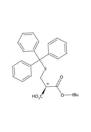 CC(C)(C)OC(=O)[C@H](CSC(c1ccccc1)(c1ccccc1)c1ccccc1)C(=O)O